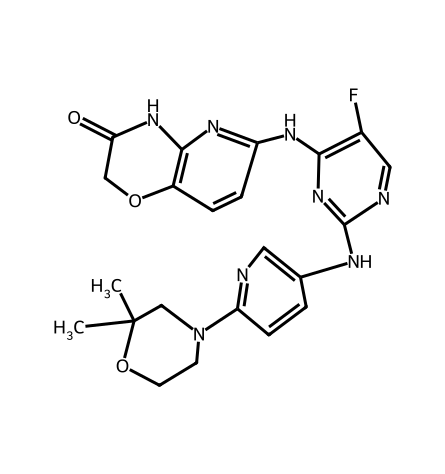 CC1(C)CN(c2ccc(Nc3ncc(F)c(Nc4ccc5c(n4)NC(=O)CO5)n3)cn2)CCO1